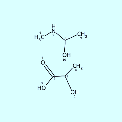 CC(O)C(=O)O.CNC(C)O